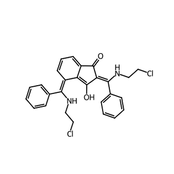 O=C1C(=C(NCCCl)c2ccccc2)C(O)=c2c1cccc2=C(NCCCl)c1ccccc1